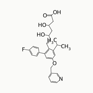 CC(C)c1cc(OCc2cccnc2)cc(-c2ccc(F)cc2)c1/C=C/C(O)CC(O)CC(=O)O